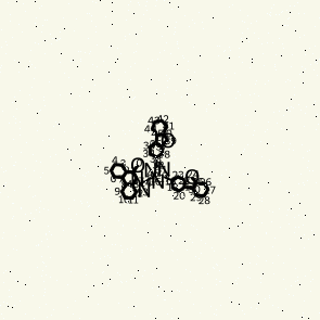 O=c1c2ccccc2c2cccc3nc(-c4nc(-c5ccc6c(c5)oc5ccccc56)nc(-c5ccc6c(c5)oc5ccccc56)n4)n1c32